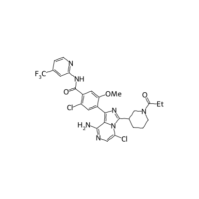 CCC(=O)N1CCCC(c2nc(-c3cc(Cl)c(C(=O)Nc4cc(C(F)(F)F)ccn4)cc3OC)c3c(N)ncc(Cl)n23)C1